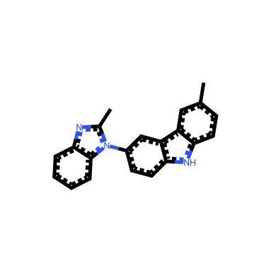 Cc1ccc2[nH]c3ccc(-n4c(C)nc5ccccc54)cc3c2c1